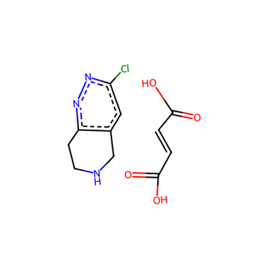 Clc1cc2c(nn1)CCNC2.O=C(O)C=CC(=O)O